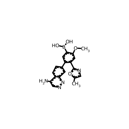 COc1cc(-c2ncc(C)o2)c(-c2ccc3c(N)cnnc3c2)cc1B(O)O